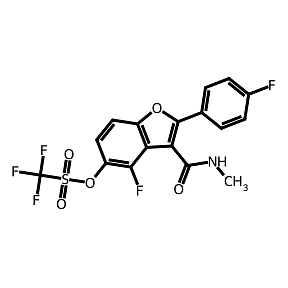 CNC(=O)c1c(-c2ccc(F)cc2)oc2ccc(OS(=O)(=O)C(F)(F)F)c(F)c12